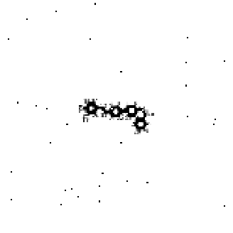 C[C@@H](Cc1ccc(-c2ccc(CCc3ccc(F)c(F)c3)cc2)cc1)c1ccccc1